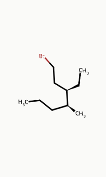 CCC[C@H](C)[C@H](CC)CCBr